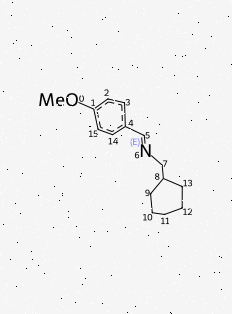 COc1ccc(/C=N/CC2CCCCC2)cc1